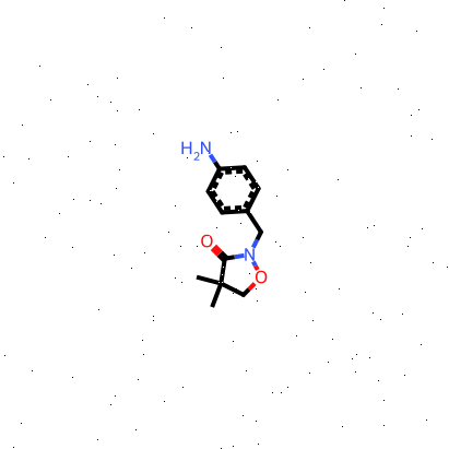 CC1(C)CON(Cc2ccc(N)cc2)C1=O